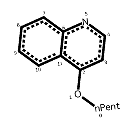 CCCCCOc1ccnc2ccccc12